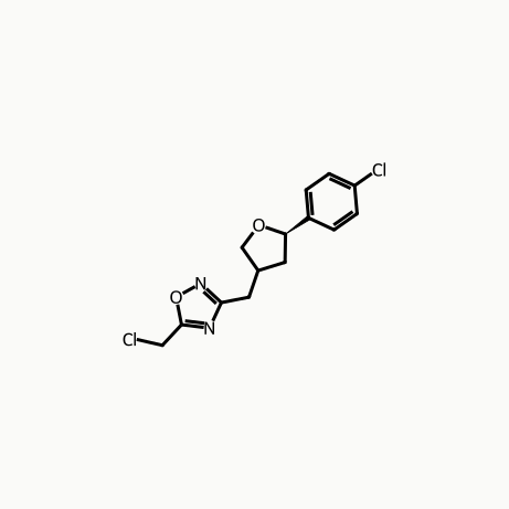 ClCc1nc(CC2CO[C@@H](c3ccc(Cl)cc3)C2)no1